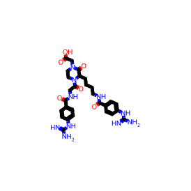 N=C(N)Nc1ccc(C(=O)NCCCCC2C(=O)N(CC(=O)O)CCN2C(=O)CNC(=O)c2ccc(NC(=N)N)cc2)cc1